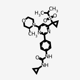 CC(C)S(=O)(=O)C1(c2cc(N3CCOC[C@@H]3C)nc(-c3ccc(NC(=O)NC4CC4)cc3)n2)CC1